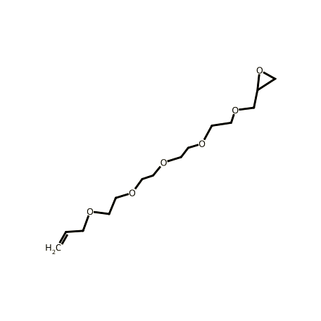 C=CCOCCOCCOCCOCCOCC1CO1